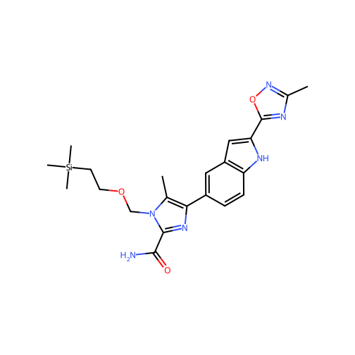 Cc1noc(-c2cc3cc(-c4nc(C(N)=O)n(COCC[Si](C)(C)C)c4C)ccc3[nH]2)n1